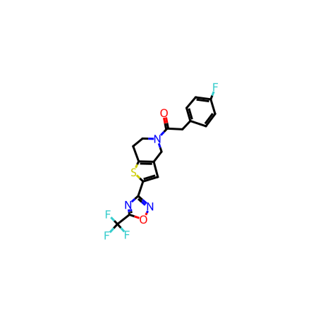 O=C(Cc1ccc(F)cc1)N1CCc2sc(-c3noc(C(F)(F)F)n3)cc2C1